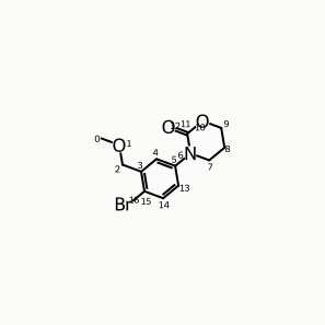 COCc1cc(N2CCCOC2=O)ccc1Br